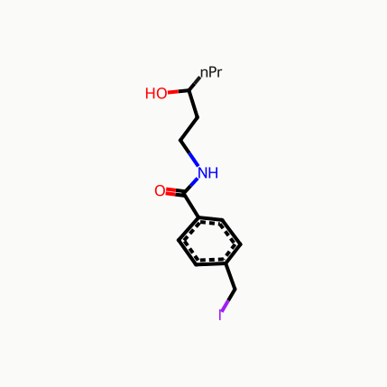 CCCC(O)CCNC(=O)c1ccc(CI)cc1